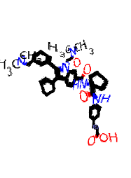 CN(C)Cc1cccc(-c2c(C3CCCCC3)c3ccc(C(=O)NC4(C(=O)Nc5ccc(/C=C/C(=O)O)cc5)CCCC4)cc3n2CC(=O)N(C)C)c1